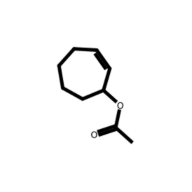 CC(=O)OC1C=CCCCC1